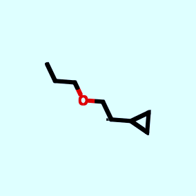 CCCOC[CH]C1CC1